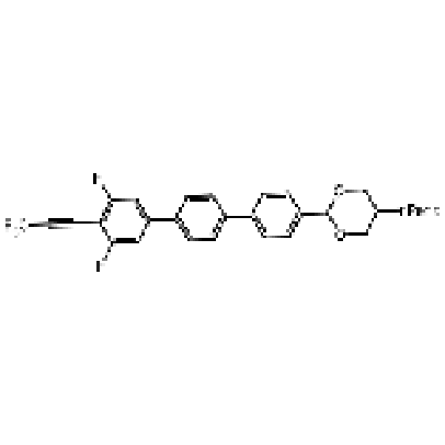 CCCCCC1COC(c2ccc(-c3ccc(-c4cc(F)c(C#CC(F)(F)F)c(F)c4)cc3)cc2)OC1